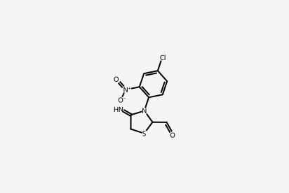 N=C1CSC(C=O)N1c1ccc(Cl)cc1[N+](=O)[O-]